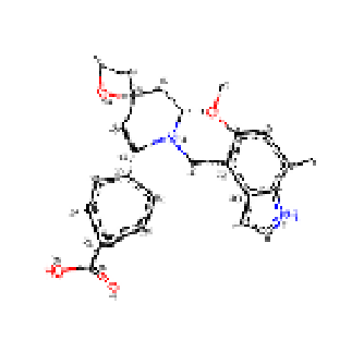 COc1cc(C)c2[nH]ccc2c1CN1CC[C@@]2(CCO2)C[C@H]1c1ccc(C(=O)O)cc1